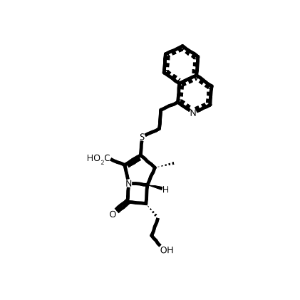 C[C@H]1C(SCCc2nccc3ccccc23)=C(C(=O)O)N2C(=O)[C@@H](CCO)[C@@H]12